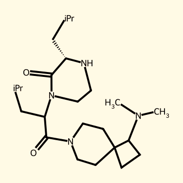 CC(C)CC(C(=O)N1CCC2(CCC2N(C)C)CC1)N1CCN[C@@H](CC(C)C)C1=O